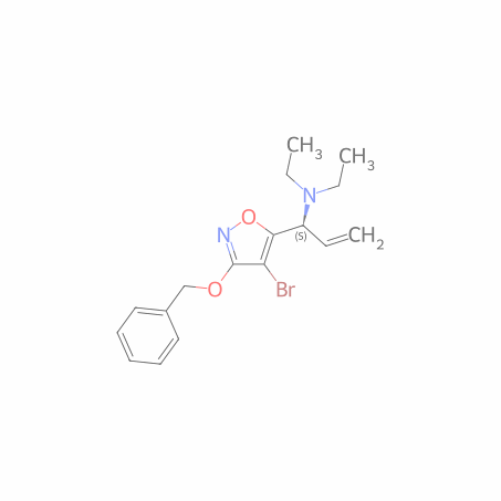 C=C[C@@H](c1onc(OCc2ccccc2)c1Br)N(CC)CC